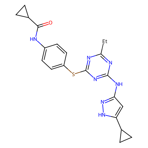 CCc1nc(Nc2cc(C3CC3)[nH]n2)nc(Sc2ccc(NC(=O)C3CC3)cc2)n1